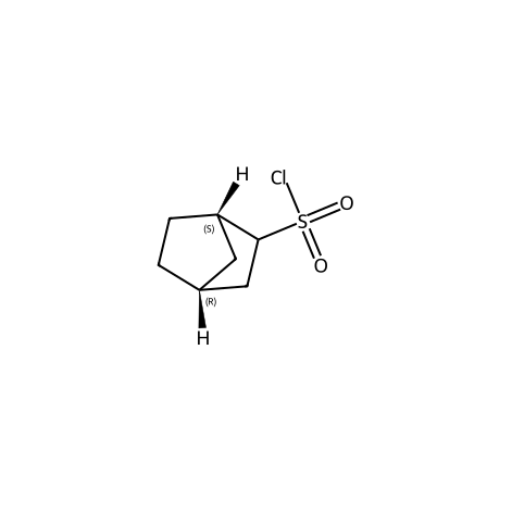 O=S(=O)(Cl)C1C[C@@H]2CC[C@H]1C2